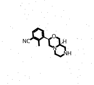 Cc1c(C#N)cccc1[C@@H]1CN2CCNC[C@@H]2CO1